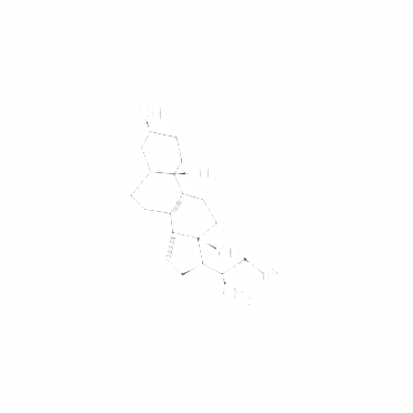 CC(C)C[C@@H](C)[C@H]1CC=C2C3=C(CC[C@@]21C)[C@@]1(C)CC[C@H](O)CC1CC3